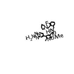 COc1nc(C)c(-c2ccn3nc(N)nc3c2)cc1C(=O)NCc1cccc(F)c1CN1CCCC1